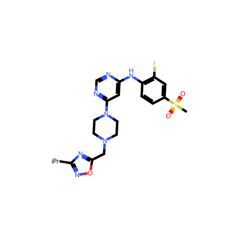 CC(C)c1noc(CN2CCN(c3cc(Nc4ccc(S(C)(=O)=O)cc4F)ncn3)CC2)n1